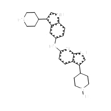 CN1CCC(c2c[nH]c3nc(Nc4ccc5[nH]cc(C6CCNCC6)c5c4)ccc23)CC1